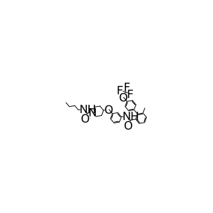 CCCCNC(=O)N1CCC(Oc2cccc(NC(=O)c3cccc(C)c3-c3ccc(OC(F)(F)F)cc3)c2)CC1